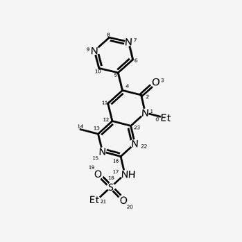 CCn1c(=O)c(-c2cncnc2)cc2c(C)nc(NS(=O)(=O)CC)nc21